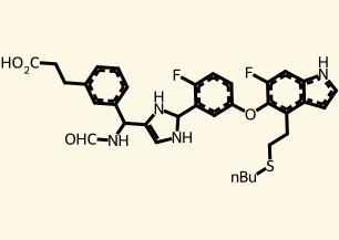 CCCCSCCc1c(Oc2ccc(F)c(C3NC=C(C(NC=O)c4cccc(CCC(=O)O)c4)N3)c2)c(F)cc2[nH]ccc12